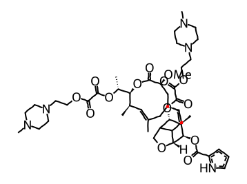 CO[C@H]1C[C@@H](/C=C\C2C3CO[C@H]2[C@H](OC(=O)c2ccc[nH]2)[C@H](C)[C@H]3OC(=O)C(=O)OCCN2CCN(C)CC2)C/C(C)=C/[C@@H](C)[C@@H]([C@@H](C)OC(=O)C(=O)OCCN2CCN(C)CC2)OC1=O